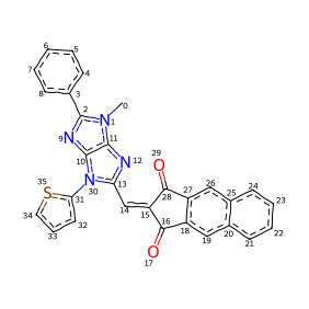 Cn1c(-c2ccccc2)nc2c1nc(C=C1C(=O)c3cc4ccccc4cc3C1=O)n2-c1cccs1